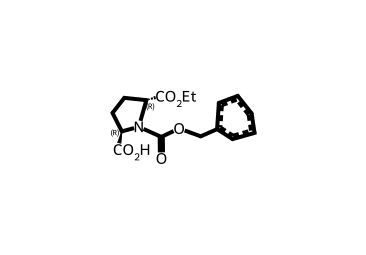 CCOC(=O)[C@H]1CC[C@H](C(=O)O)N1C(=O)OCc1ccccc1